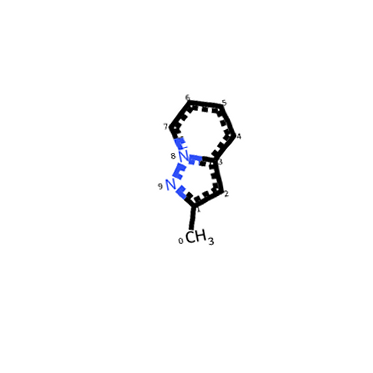 Cc1cc2ccccn2n1